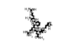 CC(C)(C(=O)NCCc1cnc[nH]1)C(=O)N[C@@H](CCC(N)=O)C(=O)N[C@@H](CCCNC(=N)N)C(=O)N1CCCC[C@H]1C(=O)N[C@H](CCCNC(=N)N)C(N)=O